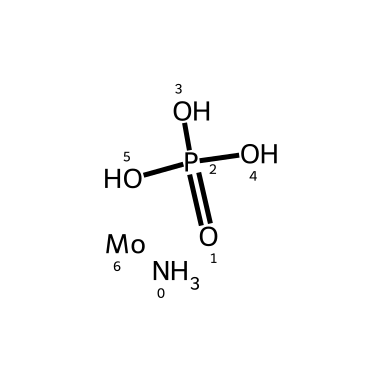 N.O=P(O)(O)O.[Mo]